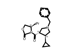 CC(C)[C@@H]1COC(=O)N1C(=O)[C@@H]1CN(Cc2ccccc2)C[C@H]1C1CC1